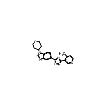 Cc1ccncc1-c1noc(-c2ccc3c(c2)nnn3C2CCOCC2)n1